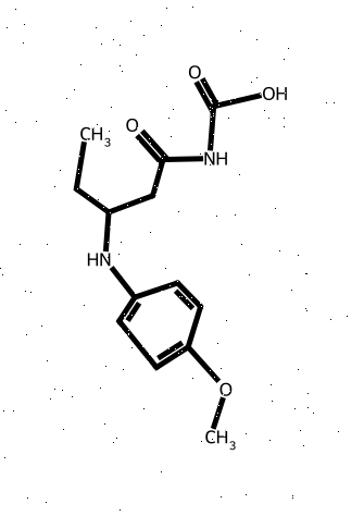 CCC(CC(=O)NC(=O)O)Nc1ccc(OC)cc1